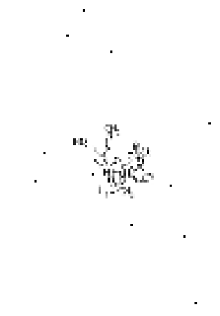 C=NC=Nc1c(CCO)ccn1[C@@H]1O[C@H]([C@H](O[Si](CC)(CC)CC)c2ccc3c(c2)CC3)[C@H]2OC(C)(C)O[C@H]21